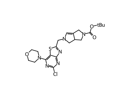 CC(C)(C)OC(=O)N1CC2=CN(Cc3nc4nc(Cl)nc(N5CCOCC5)c4s3)CC2C1